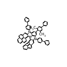 Cc1cc(-c2ccccc2)cc(C)c1-c1cc2c3c(c1)N(c1ccc(-c4ccccc4)cc1)c1cc4ccc5cccc6ccc(c1B3c1c(cc3ccc7cccc8ccc1c3c78)N2c1ccc(-c2ccccc2)cc1)c4c56